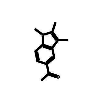 CC(=O)c1ccc2c(c1)c(C)c(C)n2C